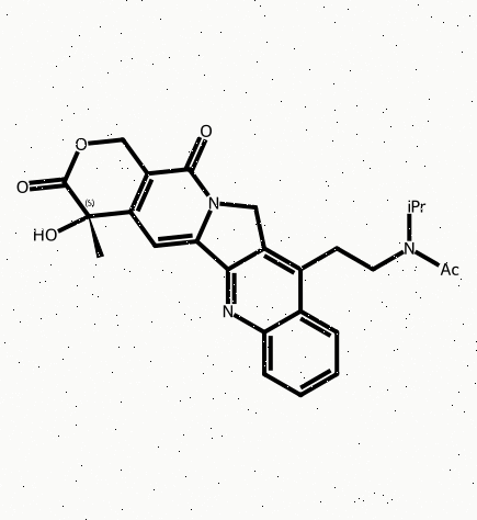 CC(=O)N(CCc1c2c(nc3ccccc13)-c1cc3c(c(=O)n1C2)COC(=O)[C@@]3(C)O)C(C)C